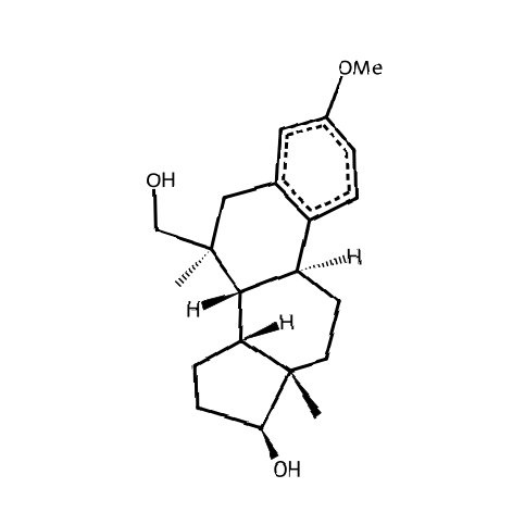 COc1ccc2c(c1)C[C@](C)(CO)[C@@H]1[C@@H]2CC[C@@]2(C)[C@@H]1CC[C@@H]2O